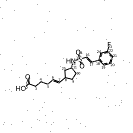 O=C(O)CCCC=CC1CCC(NS(=O)(=O)C=Cc2cccc(F)c2)C1